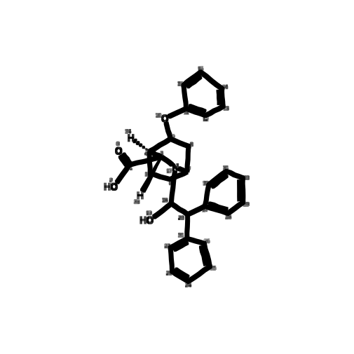 O=C(O)[C@@H]1[C@H]2CCC(CC2Oc2ccccc2)N1C(O)C(c1ccccc1)c1ccccc1